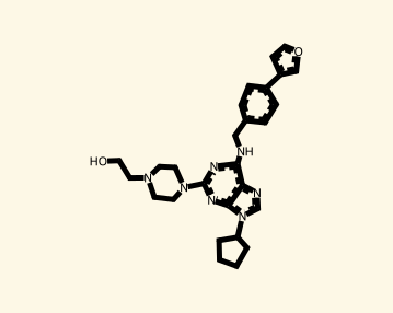 OCCN1CCN(c2nc(NCc3ccc(-c4ccoc4)cc3)c3ncn(C4CCCC4)c3n2)CC1